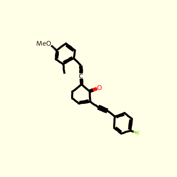 COc1ccc(C=C=C2CCC=C(C#Cc3ccc(F)cc3)C2=O)c(C)c1